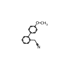 COc1ccc(-c2ccccc2CC#N)cc1